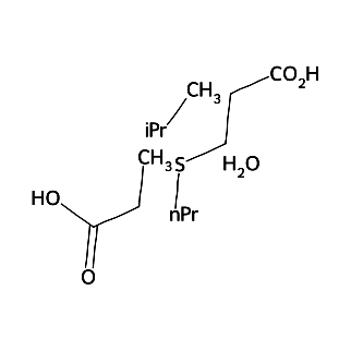 CC(C)C.CCC(=O)O.CCCSCCC(=O)O.O